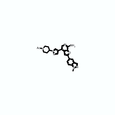 CC(=O)N1CCC(n2cc(-c3cnc(N)c4oc(-c5ccc6c(cnn6C)c5)cc34)cn2)CC1